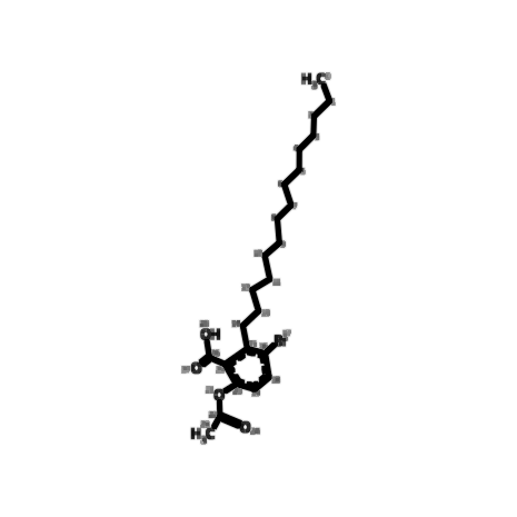 CCCCCCCCCCCCCCCc1c(Br)ccc(OC(C)=O)c1C(=O)O